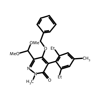 CCc1cc(C)cc(CC)c1-c1c(OCc2ccccc2)c(C(OC)OC)nn(C)c1=O